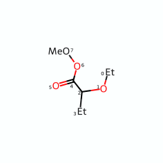 CCOC(CC)C(=O)OOC